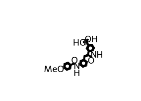 COc1ccc(C(=O)Nc2cccc(C=C3C(=O)Nc4ccc(B(O)O)cc43)c2)cc1